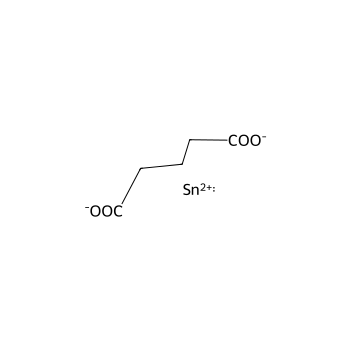 O=C([O-])CCCC(=O)[O-].[Sn+2]